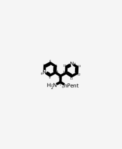 CCCCCC(N)C(c1cccnc1)c1cccnc1